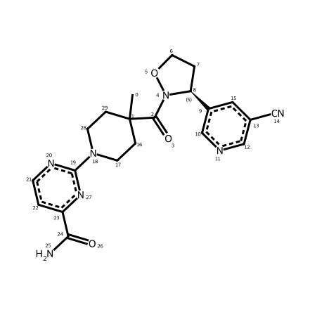 CC1(C(=O)N2OCC[C@H]2c2cncc(C#N)c2)CCN(c2nccc(C(N)=O)n2)CC1